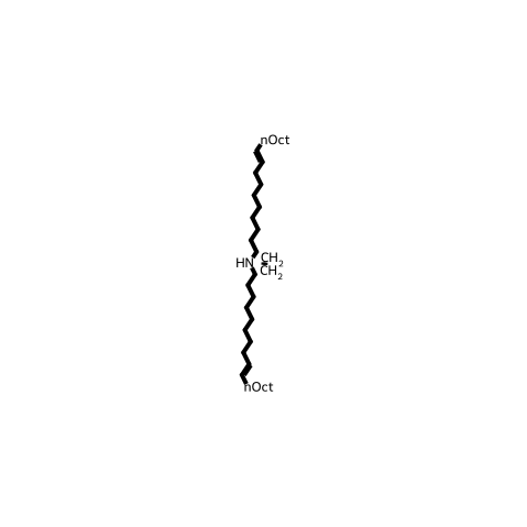 C=C.CCCCCCCCC=CCCCCCCCCNCCCCCCCCC=CCCCCCCCC